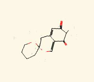 CC(=O)O[C@@H]1C2=CC(=O)[C@](C)(OC(C)=O)C(=O)C2=CO[C@@]12O[C@@H](C)CC[C@H]2OC(C)=O